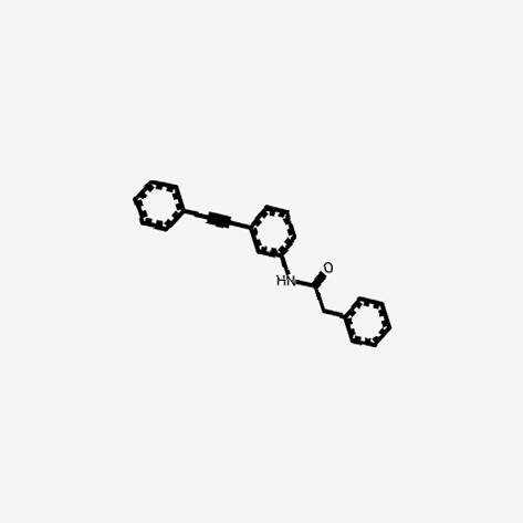 O=C(Cc1ccccc1)Nc1cccc(C#Cc2ccccc2)c1